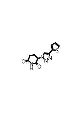 O=C1CCC(n2cc(-c3cccs3)nn2)C(=O)N1